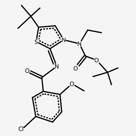 CCN(C(=O)OC(C)(C)C)n1cc(C(C)(C)C)sc1=NC(=O)c1cc(Cl)ccc1OC